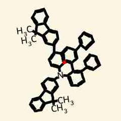 CC1(C)c2ccccc2-c2ccc(-c3ccc(N(c4ccc5c(c4)C(C)(C)c4ccccc4-5)c4cccc(-c5ccccc5)c4-c4cccc(-c5ccccc5)c4)cc3)cc21